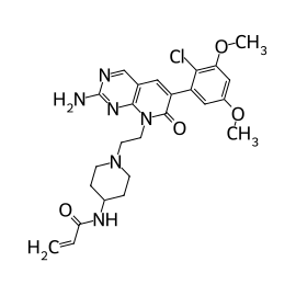 C=CC(=O)NC1CCN(CCn2c(=O)c(-c3cc(OC)cc(OC)c3Cl)cc3cnc(N)nc32)CC1